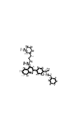 O=C(NCc1ccccc1)c1ccc(-c2cc(NCCCC3CCCNC3)c3ccccc3n2)cc1